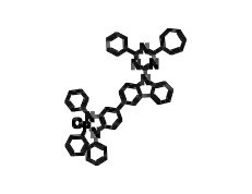 O=P1(c2ccccc2)N(c2ccccc2)c2ccc(-c3ccc4c(c3)c3ccccc3n4-c3nc(C4=CCC=CC=C4)nc(-c4ccccc4)n3)cc2N1c1ccccc1